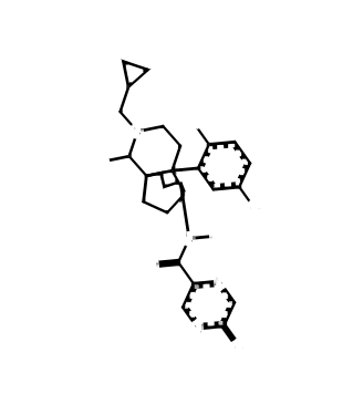 CCc1ccc(O)cc1C12CCN(CC3CC3)C(C)C13CCC(N(C)C(=O)c1c[nH]c(=O)cn1)C2CC3